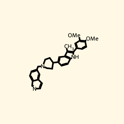 COc1ccc(-c2[nH]c3ccc(C4CCN(Cc5ccc6cnccc6c5)CC4)cc3c2C)cc1OC